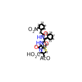 CC(=O)OCC1=C(C(=O)O)N2C(=O)[C@@H](NC(=O)[C@@H](NC(=O)Cc3ccccc3[N+](=O)[O-])c3ccccc3)[C@H]2SC1